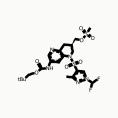 Cc1nn(C(F)F)cc1S(=O)(=O)N1C[C@H](COS(C)(=O)=O)Cc2ncc(NC(=O)OCC(C)(C)C)cc21